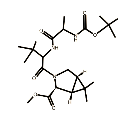 COC(=O)[C@@H]1[C@@H]2[C@H](CN1C(=O)C(NC(=O)C(C)NC(=O)OC(C)(C)C)C(C)(C)C)C2(C)C